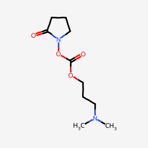 CN(C)CCCOC(=O)ON1CCCC1=O